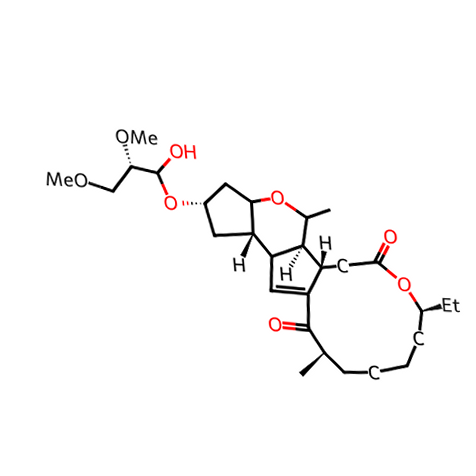 CC[C@H]1CCCC[C@@H](C)C(=O)C2=CC3[C@@H]4C[C@H](OC(O)[C@H](COC)OC)CC4OC(C)[C@H]3[C@@H]2CC(=O)O1